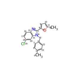 Cc1ccc(Cn2c(-c3ccc(C)o3)nc3ccc(Cl)cc32)cc1